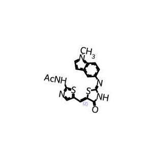 CC(=O)Nc1ncc(/C=C2\SC(=Nc3ccc4c(ccn4C)c3)NC2=O)s1